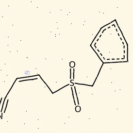 N#C/C=C\CS(=O)(=O)Cc1ccccc1